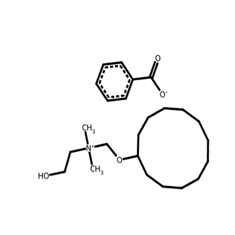 C[N+](C)(CCO)COC1CCCCCCCCCCC1.O=C([O-])c1ccccc1